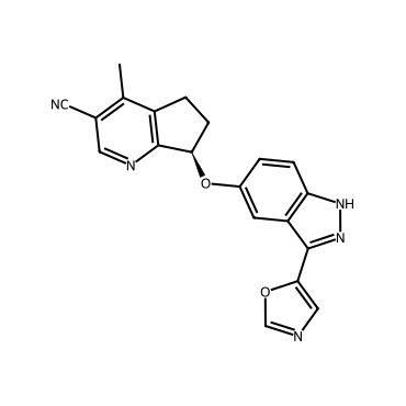 Cc1c(C#N)cnc2c1CC[C@H]2Oc1ccc2[nH]nc(-c3cnco3)c2c1